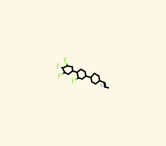 C/C=C/C1CCC(C2CCC(C3CC(F)C(F)C(F)C3)C(F)C2)CC1